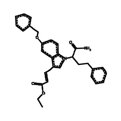 CCOC(=O)/C=C/c1cn(C(CCc2ccccc2)C(N)=O)c2ccc(OCc3ccccc3)cc12